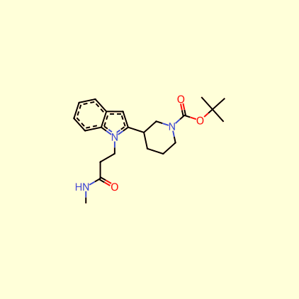 CNC(=O)CCn1c(C2CCCN(C(=O)OC(C)(C)C)C2)cc2ccccc21